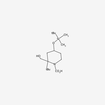 CC(C)(C)C1(CO)CC(O[Si](C)(C)C(C)(C)C)CCN1C(=O)O